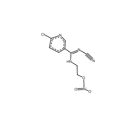 N#CN=C(NCCO[N+](=O)[O-])c1ccc(Cl)nc1